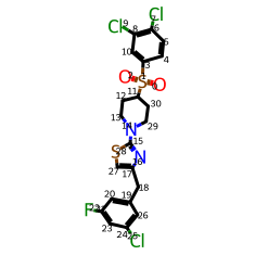 O=S(=O)(c1ccc(Cl)c(Cl)c1)C1CCN(c2nc(Cc3cc(F)cc(Cl)c3)cs2)CC1